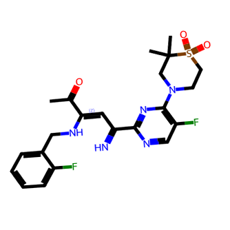 CC(=O)/C(=C/C(=N)c1ncc(F)c(N2CCS(=O)(=O)C(C)(C)C2)n1)NCc1ccccc1F